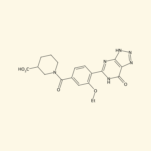 CCOc1cc(C(=O)N2CCCC(C(=O)O)C2)ccc1-c1nc2[nH]nnc2c(=O)[nH]1